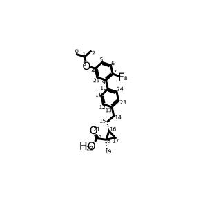 CC(C)Oc1ccc(F)c(-c2ccc(CC[C@@H]3C[C@@]3(C)C(=O)O)cc2)c1